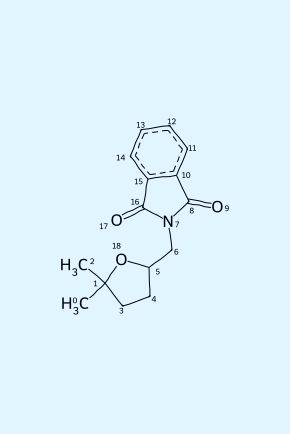 CC1(C)CCC(CN2C(=O)c3ccccc3C2=O)O1